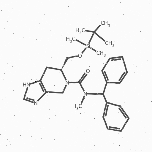 CN(C(=O)N1Cc2nc[nH]c2C[C@H]1CO[Si](C)(C)C(C)(C)C)C(c1ccccc1)c1ccccc1